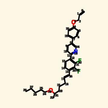 C=CCOc1ccc(-c2ccc(-c3ccc(C=CCCCC(C)OCCCCC)c(F)c3F)nc2)cc1